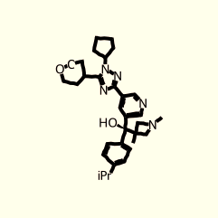 CC(C)c1ccc([C@](O)(c2cncc(-c3nc(C4CCOCC4)n(C4CCCC4)n3)c2)C2(C)CN(C)C2)cc1